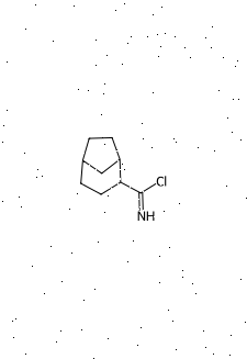 N=C(Cl)C1CCC2CCC1C2